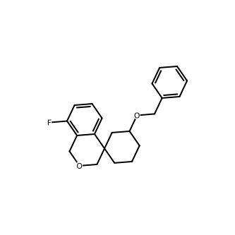 Fc1cccc2c1COCC21CCCC(OCc2ccccc2)C1